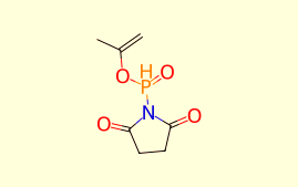 C=C(C)O[PH](=O)N1C(=O)CCC1=O